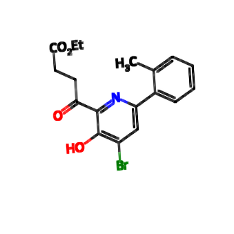 CCOC(=O)CCC(=O)c1nc(-c2ccccc2C)cc(Br)c1O